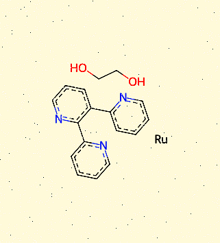 OCCO.[Ru].c1ccc(-c2cccnc2-c2ccccn2)nc1